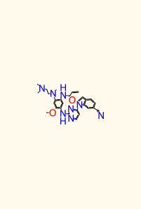 C=CC(=O)Nc1cc(Nc2nccc(-n3ccc4ccc(C#N)cc43)n2)c(OC)cc1N(C)CCN(C)C